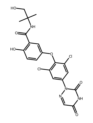 CC(C)(CO)NC(=O)c1cc(Oc2c(Cl)cc(-n3ncc(=O)[nH]c3=O)cc2Cl)ccc1O